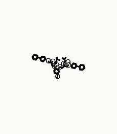 C=C(C)C(=O)OC(COc1ccc(-c2ccccc2)cc1)COc1ccc(OC)cc1OCC(COc1ccc(-c2ccccc2)cc1)OC(=O)C(=C)C